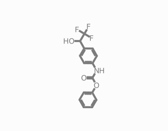 O=C(Nc1ccc(C(O)C(F)(F)F)cc1)Oc1ccccc1